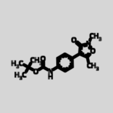 Cc1on(C)c(=O)c1-c1ccc(NC(=O)OC(C)(C)C)cc1